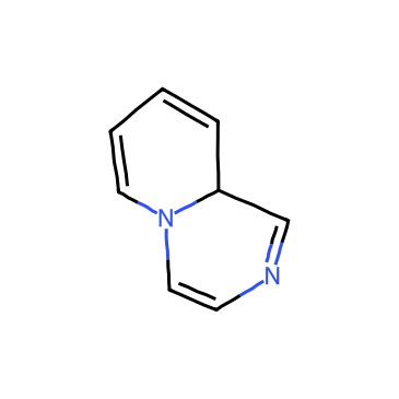 C1=CC2C=NC=CN2C=C1